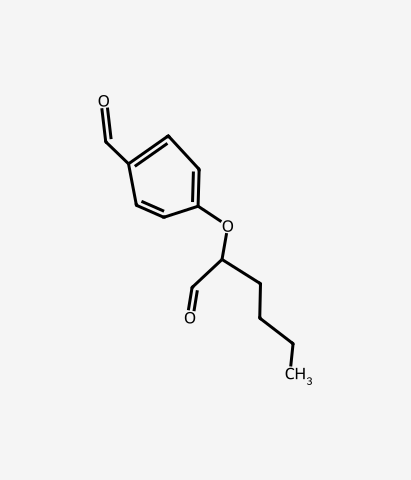 CCCCC(C=O)Oc1ccc(C=O)cc1